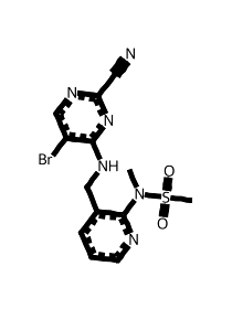 CN(c1ncccc1CNc1nc(C#N)ncc1Br)S(C)(=O)=O